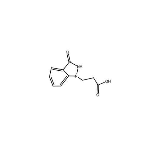 O=C(O)CCn1[nH]c(=O)c2ccccc21